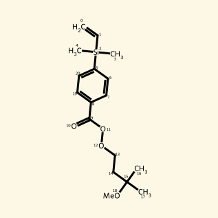 C=C[Si](C)(C)c1ccc(C(=O)OO[CH]CC(C)(C)OC)cc1